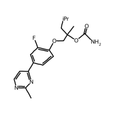 Cc1nccc(-c2ccc(OCC(C)(CC(C)C)OC(N)=O)c(F)c2)n1